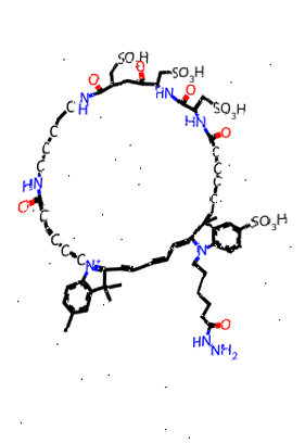 Cc1ccc2c(c1)C(C)(C)C1=[N+]2CCCCCC(=O)NCCCCCNC(=O)C(CS(=O)(=O)O)CC(=O)C(CS(=O)(=O)O)NC(=O)C(CS(=O)(=O)O)NC(=O)CCCCCC2(C)/C(=C/C=C/C=C/1)N(CCCCCC(=O)NN)c1ccc(S(=O)(=O)O)cc12